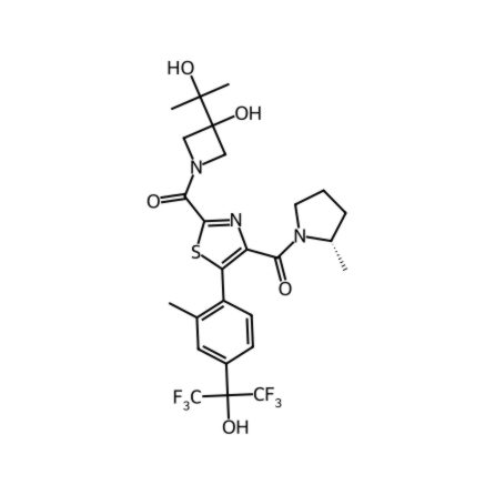 Cc1cc(C(O)(C(F)(F)F)C(F)(F)F)ccc1-c1sc(C(=O)N2CC(O)(C(C)(C)O)C2)nc1C(=O)N1CCC[C@@H]1C